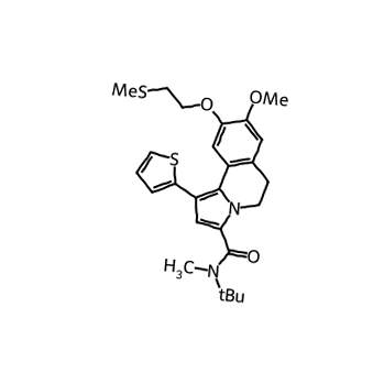 COc1cc2c(cc1OCCSC)-c1c(-c3cccs3)cc(C(=O)N(C)C(C)(C)C)n1CC2